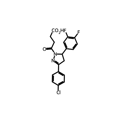 O=C(O)CCC(=O)N1N=C(c2ccc(Cl)cc2)CC1c1ccc(F)c(F)c1